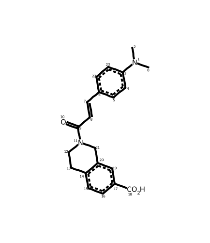 CN(C)c1ccc(C=CC(=O)N2CCc3ccc(C(=O)O)cc3C2)cc1